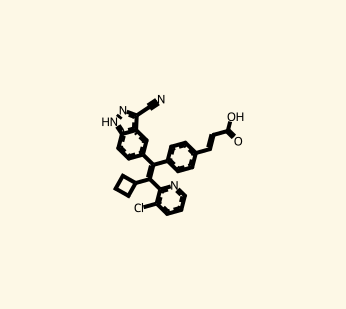 N#Cc1n[nH]c2ccc(/C(=C(/c3ncccc3Cl)C3CCC3)c3ccc(/C=C/C(=O)O)cc3)cc12